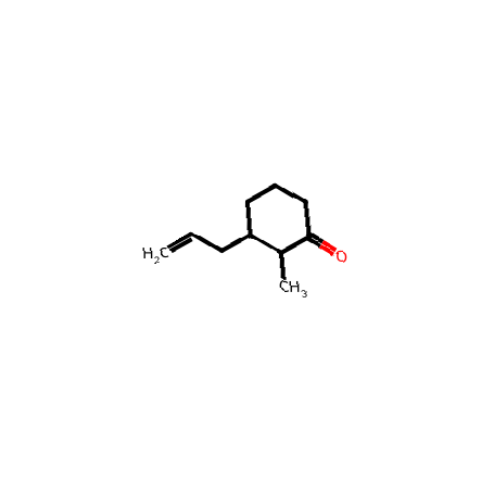 C=CCC1CCCC(=O)C1C